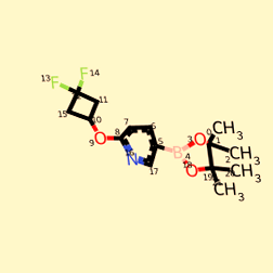 CC1(C)OB(c2ccc(OC3CC(F)(F)C3)nc2)OC1(C)C